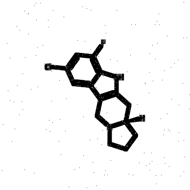 Fc1cc(Cl)cc2c3c([nH]c12)C[C@@H]1CCCN1C3